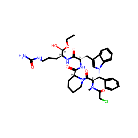 CCO[C@H](O)[C@H](CCCNC(N)=O)NC(=O)[C@H](Cc1c[nH]c2ccccc12)NC(=O)[C@@H]1CCCCN1C(=O)[C@@H](Cc1ccccc1)N(C)C(=O)CCl